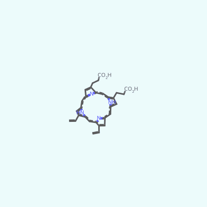 C=CC1=Cc2cc3cc(CCC(=O)O)c(cc4nc(cc5cc(C=C)c(cc1n2)[nH]5)C=C4CCC(=O)O)[nH]3